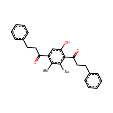 CC(C)(C)c1c(C(=O)CCc2ccccc2)cc(O)c(C(=O)CCc2ccccc2)c1C(C)(C)C